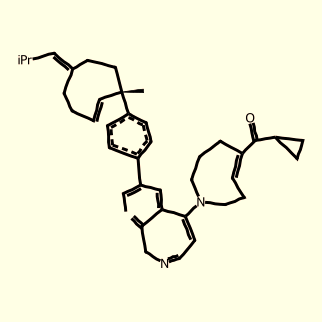 C=C1CN=CC=C(N2CC/C=C(\C(=O)C3CC3)CCC2)/C1=C/C(=C\C)c1ccc([C@]2(C)/C=C/CC/C(=C\C(C)C)CC2)cc1